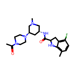 CC(=O)N1CCN([C@@H]2C[C@@H](NC(=O)C3Cc4c(F)ccc(C)c4N3)CN(C)C2)CC1